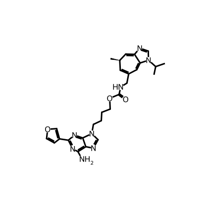 CC(C)n1cnc2c1=CC(CNC(=O)OCCCCn1cnc3c(N)nc(-c4ccoc4)nc31)=C[C@@H](C)C=2